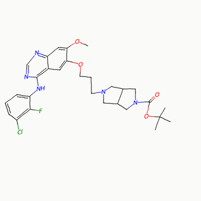 COc1cc2ncnc(Nc3cccc(Cl)c3F)c2cc1OCCCN1CC2CN(C(=O)OC(C)(C)C)CC2C1